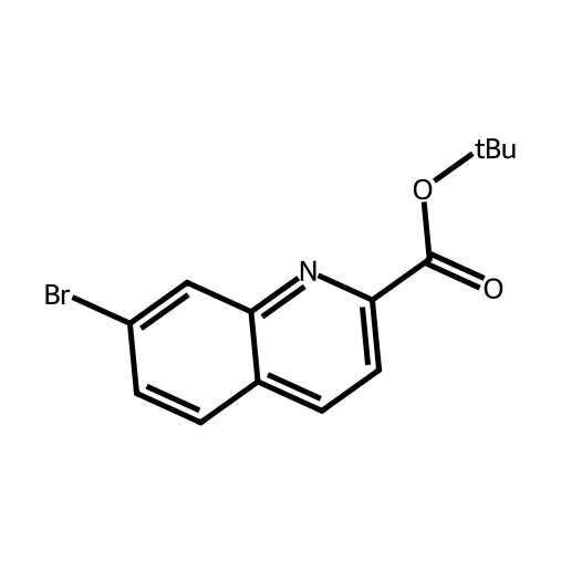 CC(C)(C)OC(=O)c1ccc2ccc(Br)cc2n1